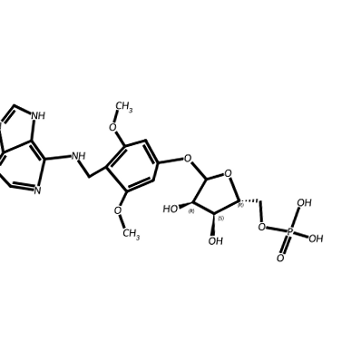 COc1cc(OC2O[C@H](COP(=O)(O)O)[C@@H](O)[C@H]2O)cc(OC)c1CNc1ncnc2nc[nH]c12